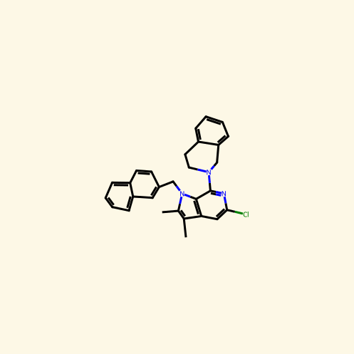 Cc1c(C)n(Cc2ccc3ccccc3c2)c2c(N3CCc4ccccc4C3)nc(Cl)cc12